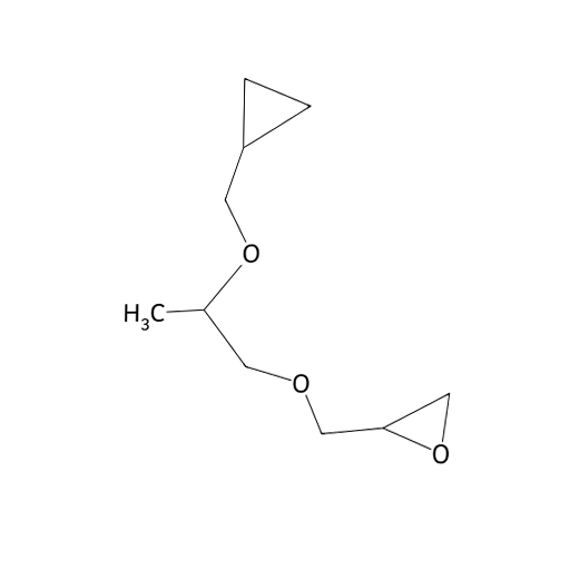 CC(COCC1CO1)OCC1CC1